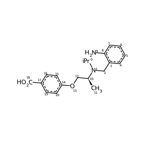 CC(C)N(Cc1ccccc1N)[C@@H](C)COc1ccc(C(=O)O)cc1